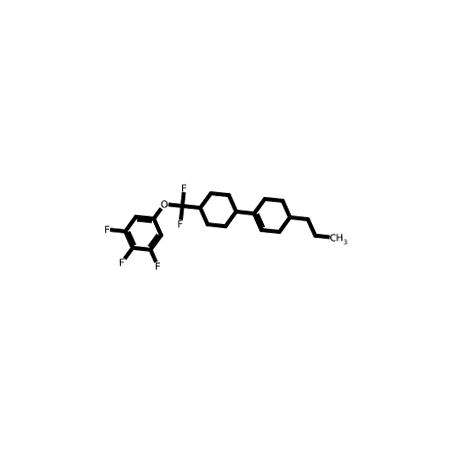 CCCC1CC=C(C2CCC(C(F)(F)Oc3cc(F)c(F)c(F)c3)CC2)CC1